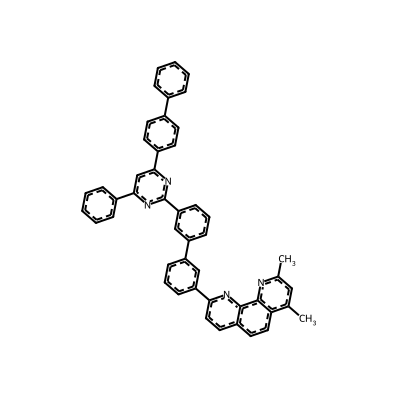 Cc1cc(C)c2ccc3ccc(-c4cccc(-c5cccc(-c6nc(-c7ccccc7)cc(-c7ccc(-c8ccccc8)cc7)n6)c5)c4)nc3c2n1